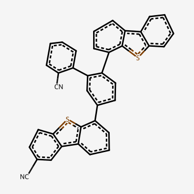 N#Cc1ccc2sc3c(-c4ccc(-c5cccc6c5sc5ccccc56)c(-c5ccccc5C#N)c4)cccc3c2c1